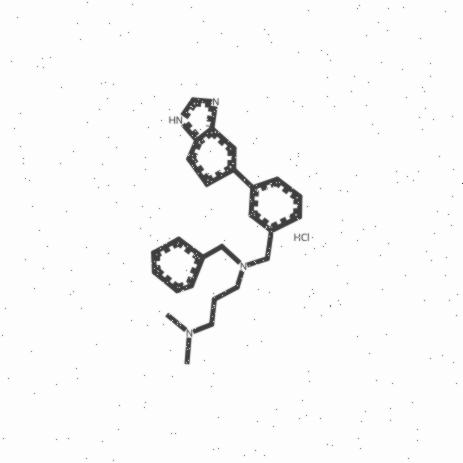 CN(C)CCCN(Cc1ccccc1)Cc1cccc(-c2ccc3[nH]cnc3c2)c1.Cl